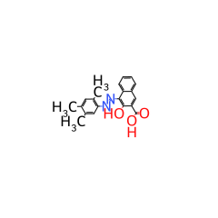 Cc1cc(C)c(N=Nc2c(O)c(C(=O)O)cc3ccccc23)cc1C